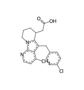 Cc1ccnc2c1c(Cc1ccc(Cl)cc1)c1n2CCCC1CC(=O)O